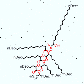 CCCCCCCCCCCCCCCCCCCCCCCCC(O)C(=O)OC(CCCCCCCCCCCCCCCCCCCC)C(=O)OC(CCCCCCCCCCCCCCCCCC)C(=O)OC(CCCCCCCCCCCCCCCC)C(=O)OC(CCCCCCCCCCCCCC)C(=O)OC(CCCCCCCCCCCC)C(=O)OC(CCCCCCCCCC)C(=O)O